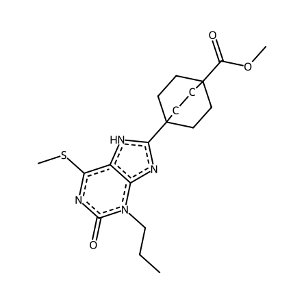 CCCn1c(=O)nc(SC)c2[nH]c(C34CCC(C(=O)OC)(CC3)CC4)nc21